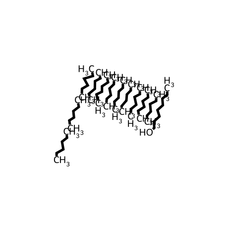 CCCCCC.CCCCCC.CCCCCC.CCCCCC.CCCCCC.CCCCCC.CCCCCC.CCCCCC.CCCCCC.CCCCCC.CCCCCC.CCCCCCCCO